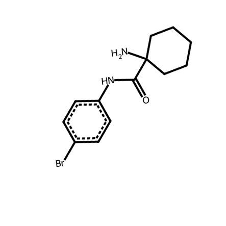 NC1(C(=O)Nc2ccc(Br)cc2)CCCCC1